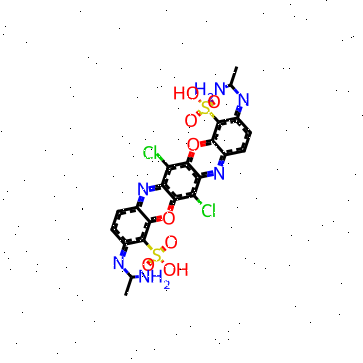 CC(N)/N=c1/ccc2nc3c(Cl)c4oc5c(S(=O)(=O)O)/c(=N\C(C)N)ccc-5nc4c(Cl)c3oc-2c1S(=O)(=O)O